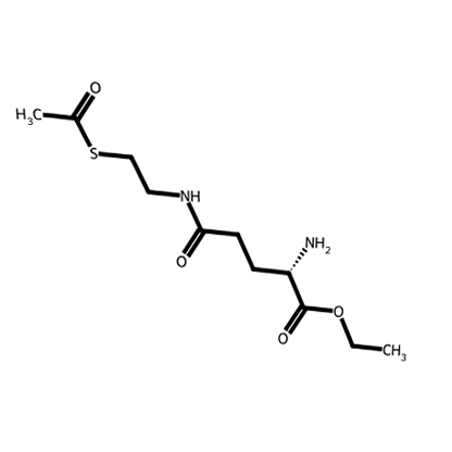 CCOC(=O)[C@@H](N)CCC(=O)NCCSC(C)=O